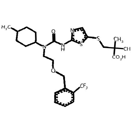 CC1CCC(N(CCOCc2ccccc2C(F)(F)F)C(=O)Nc2ncc(SCC(C)(C)C(=O)O)s2)CC1